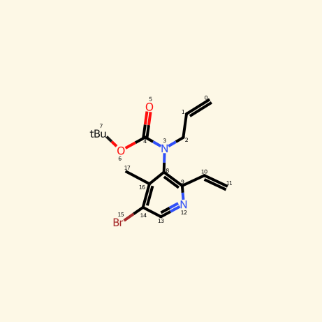 C=CCN(C(=O)OC(C)(C)C)c1c(C=C)ncc(Br)c1C